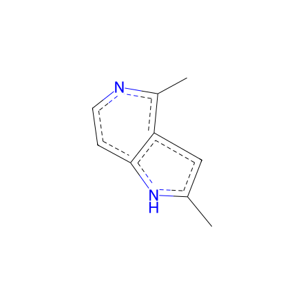 Cc1cc2c(C)nccc2[nH]1